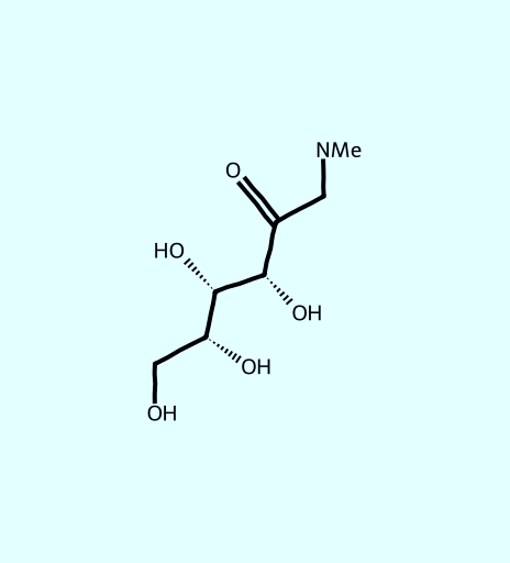 CNCC(=O)[C@H](O)[C@@H](O)[C@H](O)CO